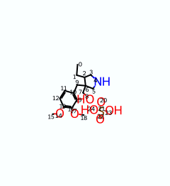 CCC1CNCC1(CO)Cc1ccc(OC)c(OC)c1.O=S(=O)(O)O